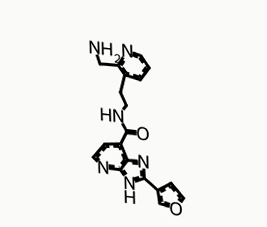 NCc1ncccc1CCNC(=O)c1ccnc2[nH]c(-c3ccoc3)nc12